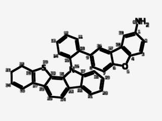 Nc1ccc2oc3ccc(-c4ccccc4-n4c5ccccc5c5ccc6c7c(sc6c54)CCC=C7)cc3c2c1